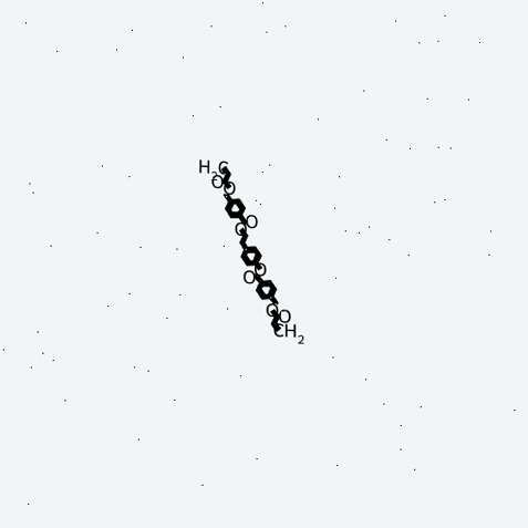 C=CC(=O)OCc1ccc(C(=O)OCCc2ccc(OC(=O)c3ccc(COC(=O)C=C)cc3)cc2)cc1